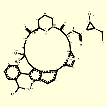 CCn1c(-c2cccnc2[C@H](C)OC)c2c3cc(ccc31)-c1csc(n1)C[C@H](NC(=O)[C@@H]1[C@@H](C)[C@H]1CF)C(=O)N1CCC[C@H](N1)C(=O)OCC(C)(C)C2